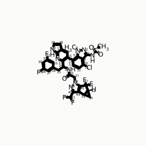 Cn1nc(NS(C)(=O)=O)c2c(Cl)ccc(-c3cc4cc[nH]c4nc3C(Cc3cc(F)cc(F)c3)NC(=O)Cn3nc(C(F)F)c4c3C(F)(F)[C@@H]3CC43)c21